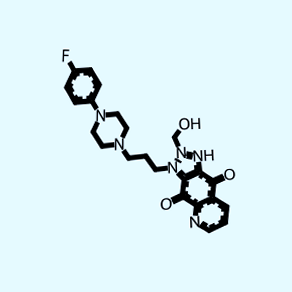 O=c1c2[nH]n(CO)n(CCCN3CCN(c4ccc(F)cc4)CC3)c=2c(=O)c2ncccc12